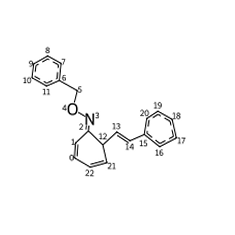 C1=CC(=NOCc2ccccc2)C(C=Cc2ccccc2)C=C1